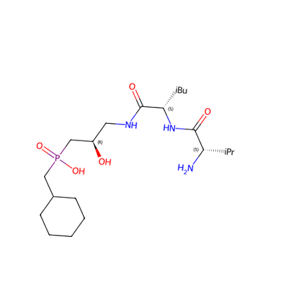 CCC(C)[C@H](NC(=O)[C@@H](N)C(C)C)C(=O)NC[C@@H](O)CP(=O)(O)CC1CCCCC1